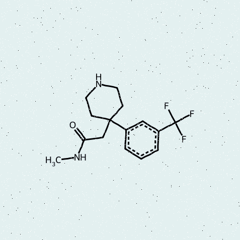 CNC(=O)CC1(c2cccc(C(F)(F)F)c2)CCNCC1